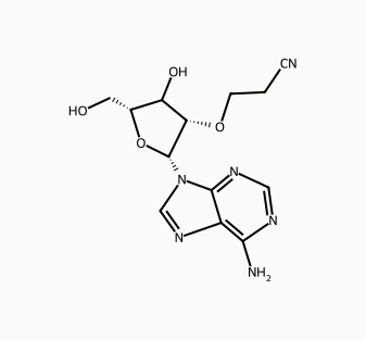 N#CCCO[C@H]1C(O)[C@@H](CO)O[C@H]1n1cnc2c(N)ncnc21